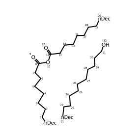 CCCCCCCCCCCCCCCCCC(=O)OC(=O)CCCCCCCCCCCCCCCCC.CCCCCCCCCCCCCCCCCCCCO